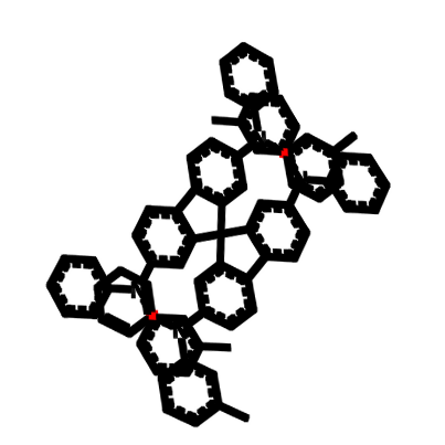 Cc1cccc(N(C2=CCCC=C2)c2ccc3c(c2)C2(c4cc(N(c5ccccc5)c5cccc(C)c5)ccc4-3)c3cc(N(c4ccccc4)c4cccc(C)c4)ccc3-c3ccc(N(c4ccccc4)c4cccc(C)c4)cc32)c1